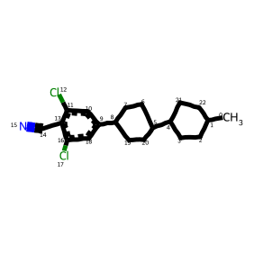 CC1CCC(C2CCC(c3cc(Cl)c(C#N)c(Cl)c3)CC2)CC1